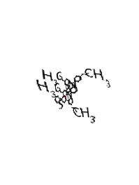 CCCc1ccc(N2c3ccc(CCC)cc3B3c4cc(CCC)ccc4N(c4ccc(CCC)cc4-c4ccc5c(c4)sc4ccccc45)c4cccc2c43)cc1